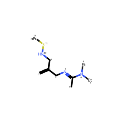 C=C(C/N=C(\C)N(CC)CC)CNSCCC